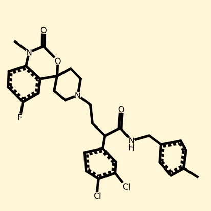 Cc1ccc(CNC(=O)C(CCN2CCC3(CC2)OC(=O)N(C)c2ccc(F)cc23)c2ccc(Cl)c(Cl)c2)cc1